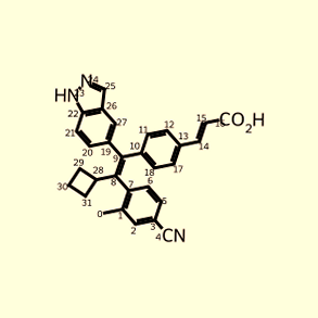 Cc1cc(C#N)ccc1C(=C(c1ccc(C=CC(=O)O)cc1)c1ccc2[nH]ncc2c1)C1CCC1